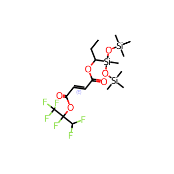 CCC(OC(=O)/C=C/C(=O)OC(F)(C(F)F)C(F)(F)F)[Si](C)(O[Si](C)(C)C)O[Si](C)(C)C